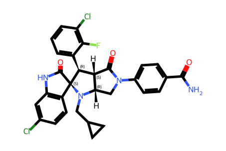 NC(=O)c1ccc(N2C[C@H]3[C@@H](C2=O)[C@H](c2cccc(Cl)c2F)[C@]2(C(=O)Nc4cc(Cl)ccc42)N3CC2CC2)cc1